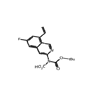 C=Cc1cc(F)cc2cc(N(C(=O)O)C(=O)OC(C)(C)C)ncc12